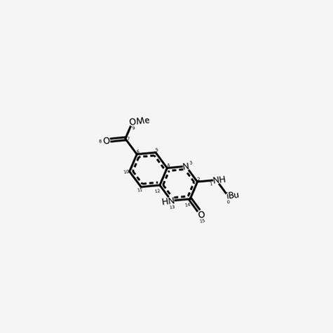 CCC(C)Nc1nc2cc(C(=O)OC)ccc2[nH]c1=O